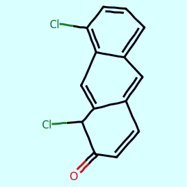 O=C1C=Cc2cc3cccc(Cl)c3cc2C1Cl